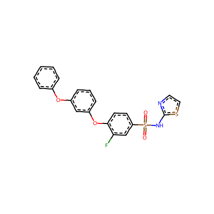 O=S(=O)(Nc1nccs1)c1ccc(Oc2cccc(Oc3ccccc3)c2)c(F)c1